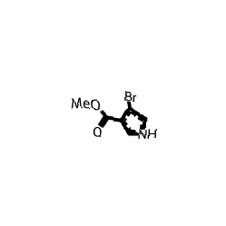 COC(=O)c1c[nH]cc1Br